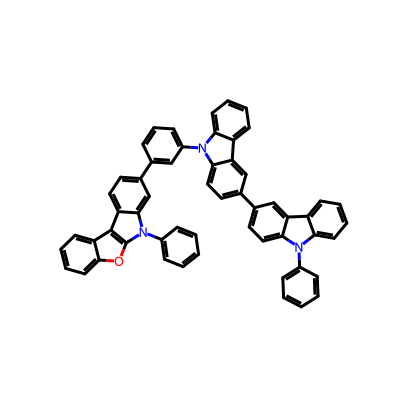 c1ccc(-n2c3ccccc3c3cc(-c4ccc5c(c4)c4ccccc4n5-c4cccc(-c5ccc6c7c8ccccc8oc7n(-c7ccccc7)c6c5)c4)ccc32)cc1